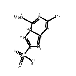 COc1nc(Cl)cc2nc(S(=O)(=O)Cl)nn12